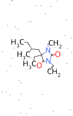 C=CN1C(=O)N(C=C)C(CC)(CC(C)CC)C1=O